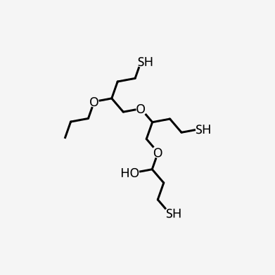 CCCOC(CCS)COC(CCS)COC(O)CCS